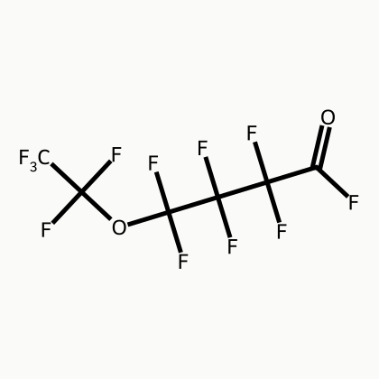 O=C(F)C(F)(F)C(F)(F)C(F)(F)OC(F)(F)C(F)(F)F